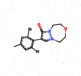 CCc1cc(C)cc(CC)c1-c1cn2n(c1=O)CCOCC2